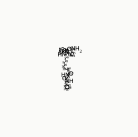 CC(C)(C)OC(=O)N[C@@H](CCCCC/C=C\[C@@H]1C[C@@H]1C(=O)NCC(=O)NCc1ccccc1)C(=O)N1CCC[C@H]1C(N)=O